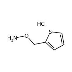 Cl.NOCc1cccs1